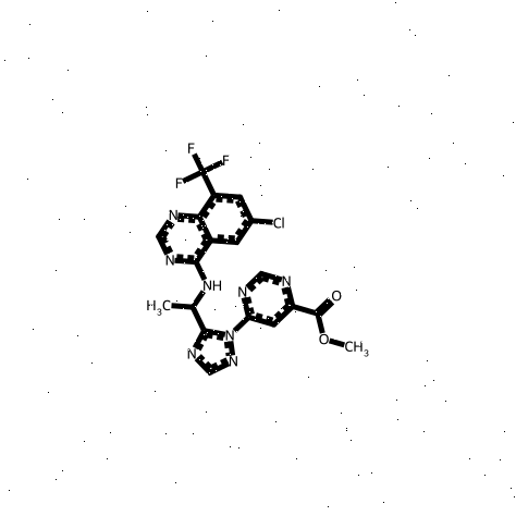 COC(=O)c1cc(-n2ncnc2C(C)Nc2ncnc3c(C(F)(F)F)cc(Cl)cc23)ncn1